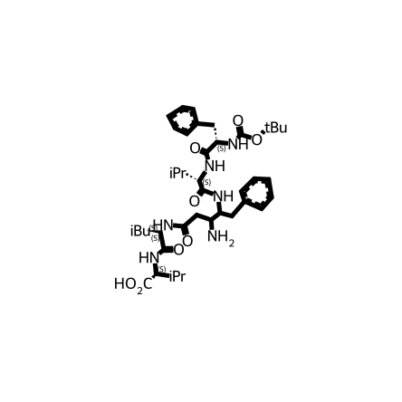 CC[C@H](C)[C@H](NC(=O)CC(N)C(Cc1ccccc1)NC(=O)[C@@H](NC(=O)[C@H](Cc1ccccc1)NC(=O)OC(C)(C)C)C(C)C)C(=O)N[C@H](C(=O)O)C(C)C